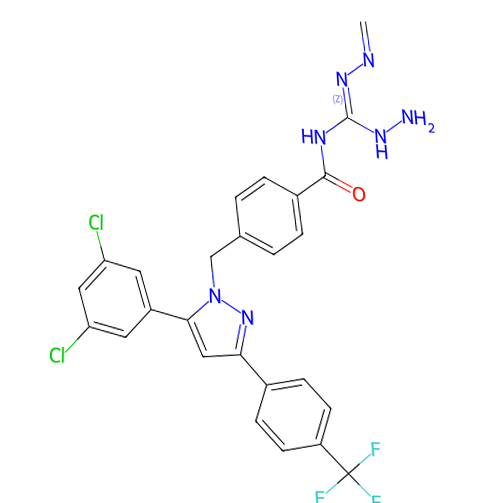 C=N/N=C(\NN)NC(=O)c1ccc(Cn2nc(-c3ccc(C(F)(F)F)cc3)cc2-c2cc(Cl)cc(Cl)c2)cc1